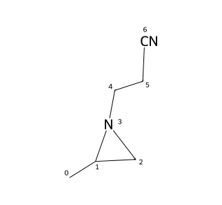 CC1CN1CCC#N